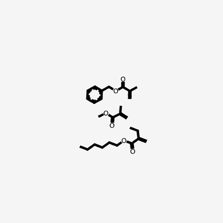 C=C(C)C(=O)OC.C=C(C)C(=O)OCc1ccccc1.C=C(CC)C(=O)OCCCCCC